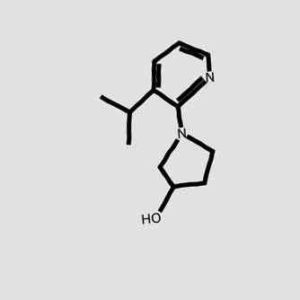 CC(C)c1cccnc1N1CCC(O)C1